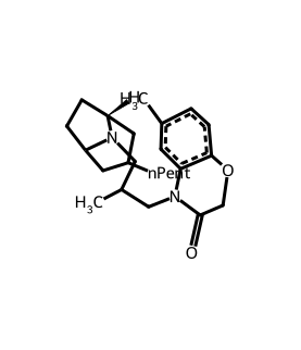 CCCCCC1CC2CC[C@H](C1)N2CC(C)CN1C(=O)COc2ccc(C)cc21